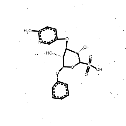 Cc1ccc(O[C@@H]2[C@@H](O)[C@H](Oc3ccccc3)OC(S(=O)(=O)O)[C@H]2O)cn1